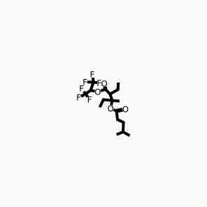 CCC(C(=O)OC(C(F)(F)F)C(F)(F)F)C(C)(CC)OC(=O)CCC(C)C